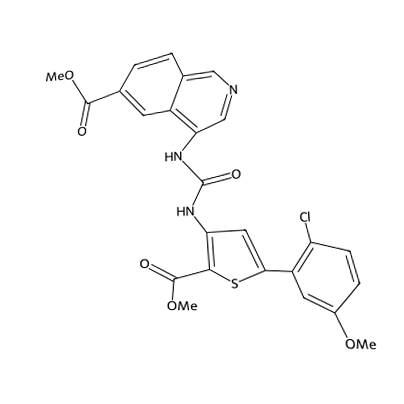 COC(=O)c1ccc2cncc(NC(=O)Nc3cc(-c4cc(OC)ccc4Cl)sc3C(=O)OC)c2c1